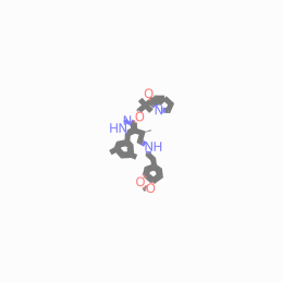 Cc1cc(C)cc(-c2[nH]nc(OCC(C)(C)C(=O)C3C4CCN3CC4)c2[C@H](C)CNCCc2ccc3c(c2)OCO3)c1